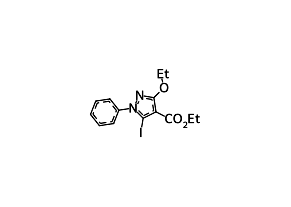 CCOC(=O)c1c(OCC)nn(-c2ccccc2)c1I